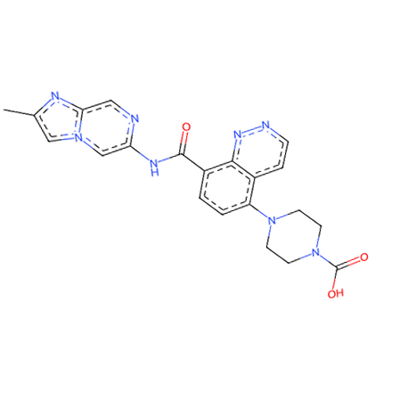 Cc1cn2cc(NC(=O)c3ccc(N4CCN(C(=O)O)CC4)c4ccnnc34)ncc2n1